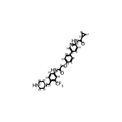 O=C(COc1ccc(-c2ccc(NC(=O)C3CC3)nc2)cc1)Nc1ccc(CN2CCNCC2)c(C(F)(F)F)c1